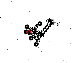 CCCCCCCCCCCCCC[C@@H](OCc1ccccc1)[C@@H](OCc1ccccc1)[C@H](CO[C@H]1OC(COCc2ccccc2)[C@H](OCc2ccccc2)[C@H](OCc2ccccc2)[C@H]1OCc1ccccc1)NC(=O)CCCCCCCCNC(=O)C(F)(F)F